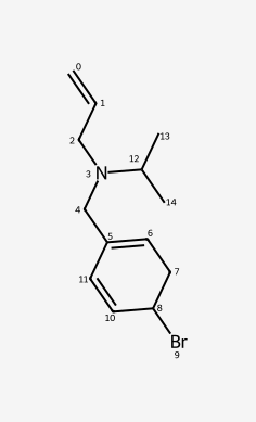 C=CCN(CC1=CCC(Br)C=C1)C(C)C